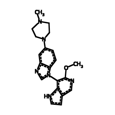 COc1ncc2cc[nH]c2c1-n1cnc2cc(N3CCN(C)CC3)ccc21